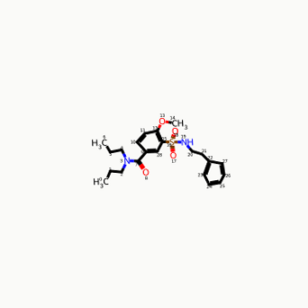 CCCN(CCC)C(=O)c1ccc(OC)c(S(=O)(=O)NCCc2ccccc2)c1